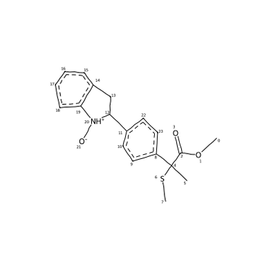 COC(=O)C(C)(SC)c1ccc(C2Cc3ccccc3[NH+]2[O-])cc1